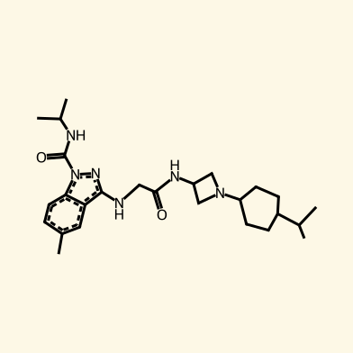 Cc1ccc2c(c1)c(NCC(=O)NC1CN(C3CCC(C(C)C)CC3)C1)nn2C(=O)NC(C)C